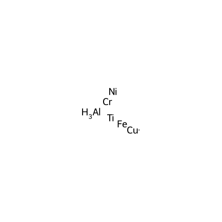 [AlH3].[Cr].[Cu].[Fe].[Ni].[Ti]